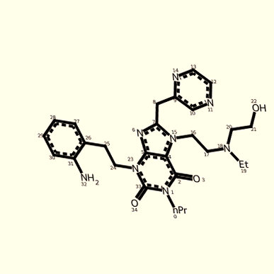 CCCn1c(=O)c2c(nc(Cc3cnccn3)n2CCN(CC)CCO)n(CCc2ccccc2N)c1=O